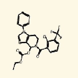 CCOC(=O)OC1c2ncn(-c3ccccc3)c2CCN1C(=O)c1cccc(C(F)(F)F)c1Cl